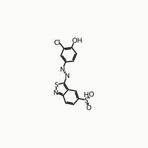 O=[SH](=O)c1ccc2nsc(/N=N/c3ccc(O)c(Cl)c3)c2c1